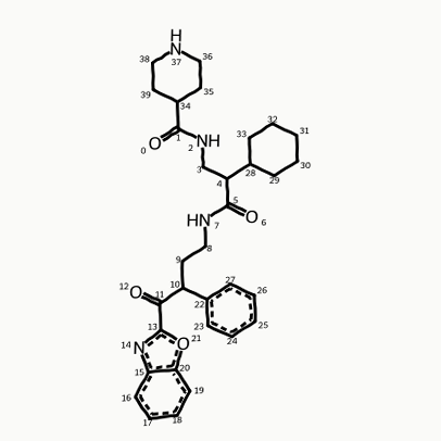 O=C(NCC(C(=O)NCCC(C(=O)c1nc2ccccc2o1)c1ccccc1)C1CCCCC1)C1CCNCC1